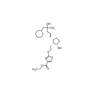 CCOC(=O)c1csc(SCC[C@@H]2[C@H](/C=C/CC(C)(O)CC3CCCCC3)CC[C@@H]2O)n1